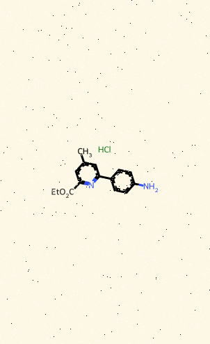 CCOC(=O)c1cc(C)cc(-c2ccc(N)cc2)n1.Cl